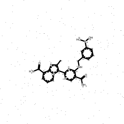 Cc1nc2c(C(N)=O)cccn2c1-c1ncc(C(N)=O)c(NCc2cccc(B(O)O)c2)n1